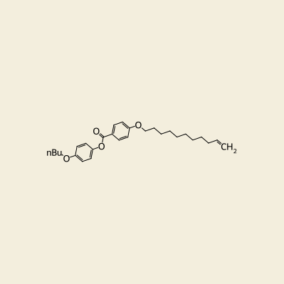 C=CCCCCCCCCCOc1ccc(C(=O)Oc2ccc(OCCCC)cc2)cc1